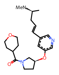 CN[C@@H](C)C/C=C/c1cncc(O[C@H]2CCN(C(=O)C3CCOCC3)C2)c1